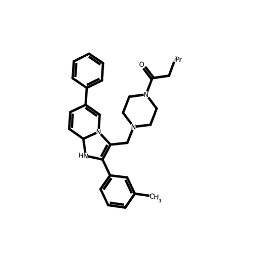 Cc1cccc(C2=C(CN3CCN(C(=O)CC(C)C)CC3)N3C=C(c4ccccc4)C=CC3N2)c1